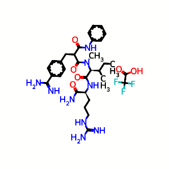 CCC(C)[C@@H](C(=O)N[C@@H](CCCNC(=N)N)C(N)=O)N(C)C(=O)C(Cc1ccc(C(=N)N)cc1)C(=O)Nc1ccccc1.O=C(O)C(F)(F)F